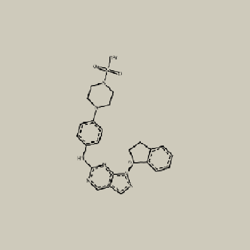 CCCS(=O)(=O)N1CCN(c2ccc(Nc3ncc4cnn([C@H]5CCc6ccccc65)c4n3)cc2)CC1